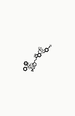 CN(C)Cc1c(OCc2ccc(C#N)cc2)ccc2c(CCC3CCN(CC4(CO[Si](c5ccccc5)(c5ccccc5)C(C)(C)C)CC4)CC3)noc12